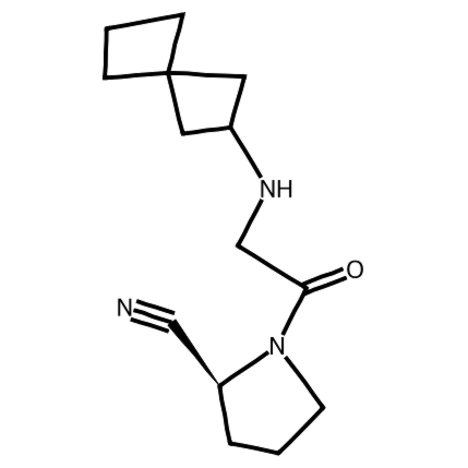 N#C[C@@H]1CCCN1C(=O)CNC1CC2(CCC2)C1